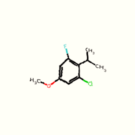 COc1cc(F)c(C(C)C)c(Cl)c1